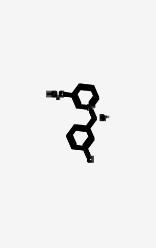 O=C(O)c1ccc[n+](Cc2cccc(Cl)c2)c1.[Br-]